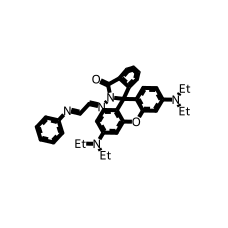 CCN(CC)c1ccc2c(c1)Oc1cc(N(CC)CC)ccc1C21c2ccccc2C(=O)N1/N=C/C=N/c1ccccc1